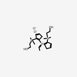 C[CH]=[Zr+2]([C]1=C([Si](C)(C)CCO)C=CC1)[C]1=C([Si](C)(C)CCO)C=CC1.[Cl-].[Cl-]